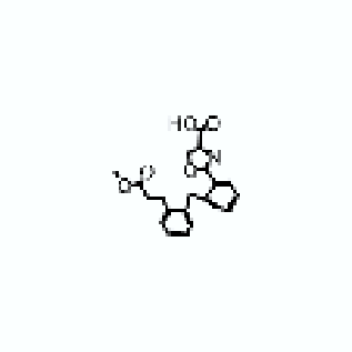 COC(=O)CCc1ccccc1Cc1ccccc1C1=NC(C(=O)O)CO1